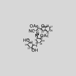 CC(=O)OC(=C(C#N)N=Nc1cc(Cc2cc(O)ccc2O)ccc1OC(C)=O)c1cc2ccccc2o1